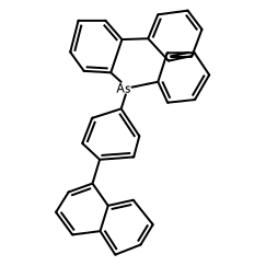 c1ccc(-c2ccccc2[As](c2ccccc2)c2ccc(-c3cccc4ccccc34)cc2)cc1